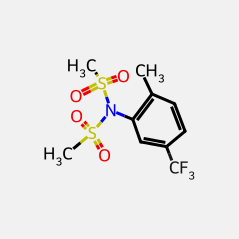 Cc1ccc(C(F)(F)F)cc1N(S(C)(=O)=O)S(C)(=O)=O